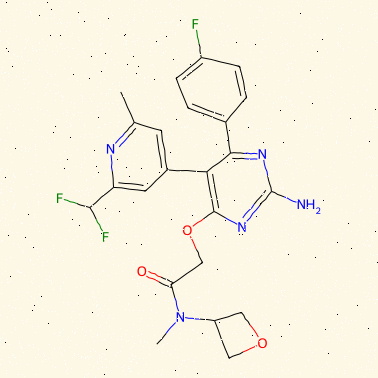 Cc1cc(-c2c(OCC(=O)N(C)C3COC3)nc(N)nc2-c2ccc(F)cc2)cc(C(F)F)n1